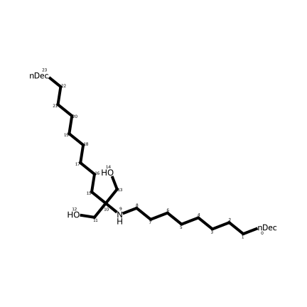 CCCCCCCCCCCCCCCCCCNC(CO)(CO)CCCCCCCCCCCCCCCCCC